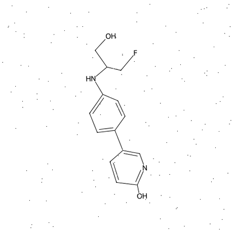 OCC(CF)Nc1ccc(-c2ccc(O)nc2)cc1